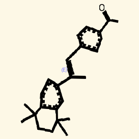 CC(=O)c1ccc(/C=C(\C)c2ccc3c(c2)C(C)(C)CCC3(C)C)cc1